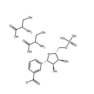 NC(CS)C(=O)O.NC(CS)C(=O)O.O=C([O-])c1ccc[n+]([C@@H]2O[C@H](COP(=O)(O)O)[C@@H](O)[C@H]2O)c1